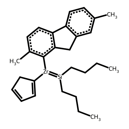 CCCC[Si](CCCC)=[Zr]([C]1=CC=CC1)[c]1c(C)ccc2c1Cc1cc(C)ccc1-2